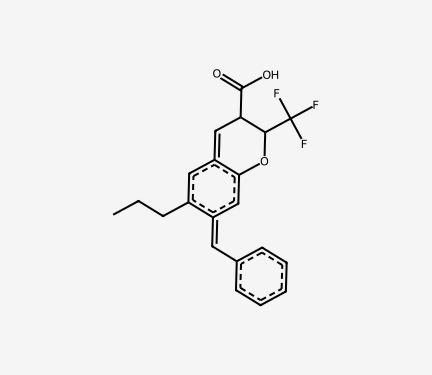 CCCc1cc2c(cc1=Cc1ccccc1)OC(C(F)(F)F)C(C(=O)O)C=2